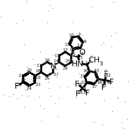 CC(NC(=O)[C@]1(c2ccccc2)CC[C@H](N2CCC(c3ccc(F)cc3)CC2)CC1)c1cc(C(F)(F)F)cc(C(F)(F)F)c1